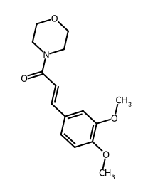 COc1ccc(C=CC(=O)N2CCOCC2)cc1OC